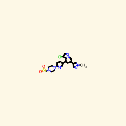 Cn1cc(-c2cc(-c3ccc(N4CCN(C[SH](=O)=O)CC4)nc3)c3c(Cl)cnn3c2)cn1